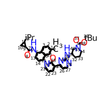 Cc1ccc2c(NC(=O)C3CC3C(C)C)cccc2c1Oc1ncccc1-c1ccnc(N[C@H]2CCCN(C(=O)OC(C)(C)C)C2)n1